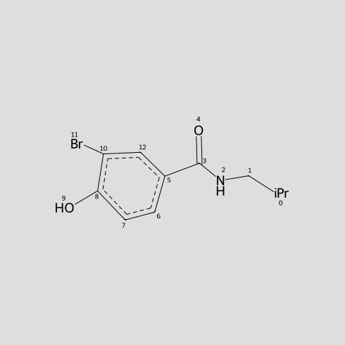 CC(C)CNC(=O)c1ccc(O)c(Br)c1